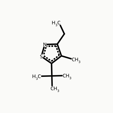 CCc1nsc(C(C)(C)C)c1C